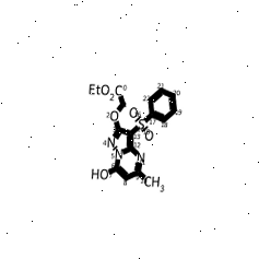 CCOC(=O)COc1nn2c(O)cc(C)nc2c1S(=O)(=O)c1ccccc1